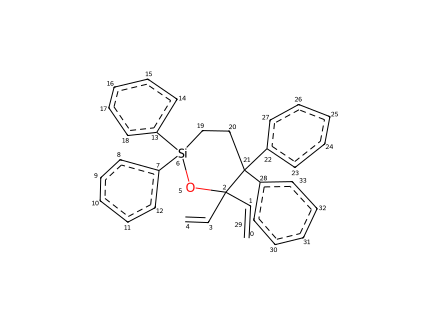 C=CC1(C=C)O[Si](c2ccccc2)(c2ccccc2)CCC1(c1ccccc1)c1ccccc1